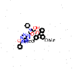 COc1ccc(C(OC[C@@]2(CO)CN(C3CCCCC3)C[C@H](n3cnc4c(NC(=O)c5ccccc5)ncnc43)O2)(c2ccccc2)c2ccc(OC)cc2)cc1